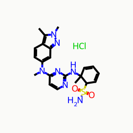 Cc1c2ccc(N(C)c3ccnc(NC4(C)C=CC=CC4S(N)(=O)=O)n3)cc2nn1C.Cl